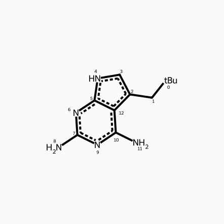 CC(C)(C)Cc1c[nH]c2nc(N)nc(N)c12